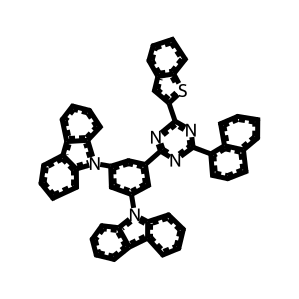 c1ccc2sc(-c3nc(-c4cc(-n5c6ccccc6c6ccccc65)cc(-n5c6ccccc6c6ccccc65)c4)nc(-c4cccc5ccccc45)n3)cc2c1